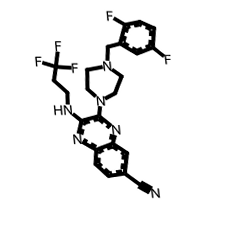 N#Cc1ccc2nc(NCCC(F)(F)F)c(N3CCN(Cc4cc(F)ccc4F)CC3)nc2c1